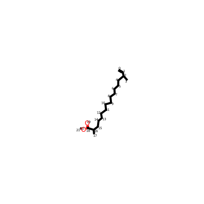 C=CC(C)CCCCCCCCCCCCC(C)C(=O)OC